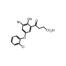 CCOC(=O)CCC(=O)c1cc(Oc2ccccc2Cl)cc(Br)c1O